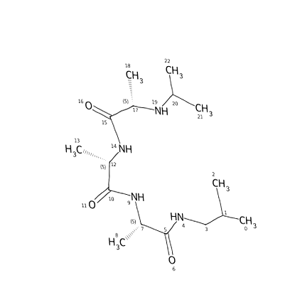 CC(C)CNC(=O)[C@H](C)NC(=O)[C@H](C)NC(=O)[C@H](C)NC(C)C